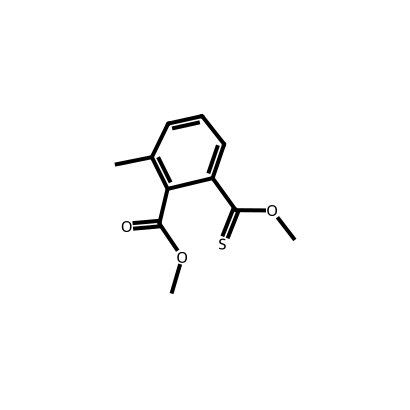 COC(=O)c1c(C)cccc1C(=S)OC